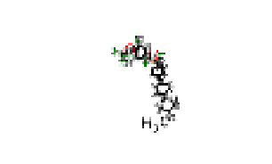 CC[C@H]1CC[C@H](C2CCC(c3ccc(C(F)(F)Oc4cc(F)c(OC(F)F)c(F)c4)cc3)CC2)CC1